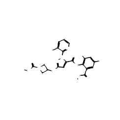 Cc1cc(Cl)cc(C(=O)NC(C)C)c1NC(=O)c1cc(OC2CN(C(=O)OC(C)(C)C)C2)nn1-c1ncccc1Cl